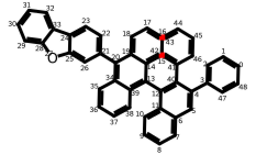 c1ccc(-c2cc3ccccc3c(-c3c4ccccc4c(-c4ccc5c(c4)oc4ccccc45)c4ccccc34)c2-c2ccccc2)cc1